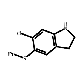 CC(C)Sc1cc2c(cc1Cl)NCC2